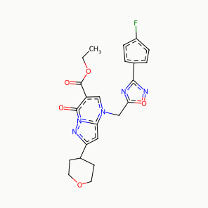 CCOC(=O)c1cn(Cc2nc(-c3ccc(F)cc3)no2)c2cc(C3CCOCC3)nn2c1=O